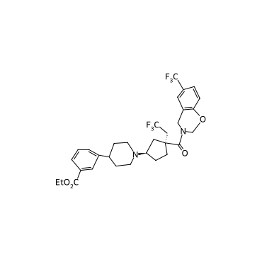 CCOC(=O)c1cccc(C2CCN([C@@H]3CC[C@](CC(F)(F)F)(C(=O)N4COc5ccc(C(F)(F)F)cc5C4)C3)CC2)c1